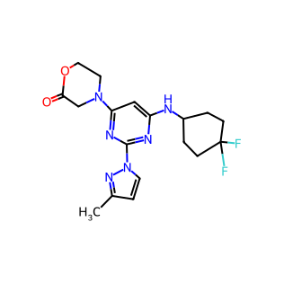 Cc1ccn(-c2nc(NC3CCC(F)(F)CC3)cc(N3CCOC(=O)C3)n2)n1